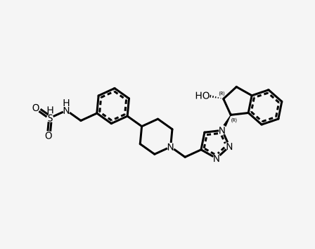 O=[SH](=O)NCc1cccc(C2CCN(Cc3cn([C@@H]4c5ccccc5C[C@H]4O)nn3)CC2)c1